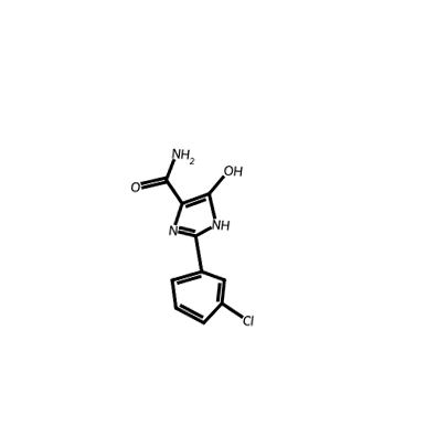 NC(=O)c1nc(-c2cccc(Cl)c2)[nH]c1O